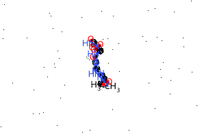 CN(C)C(=O)c1cc2cnc(Nc3ccc(N4CCN(C(=O)CNc5cccc6c5C(=O)N(C5CCC(=O)NC5=O)C6=O)CC4)cn3)nc2n1C1CCCC1